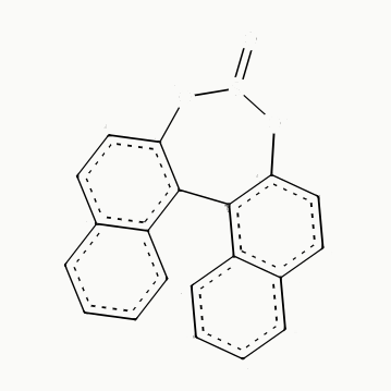 O=S1Oc2ccc3ccccc3c2-c2c(ccc3ccccc23)O1